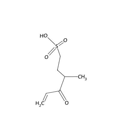 C=CC(=O)C(C)CCS(=O)(=O)O